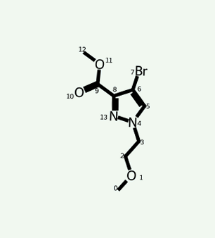 COCCn1cc(Br)c(C(=O)OC)n1